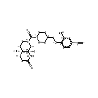 C#Cc1ccc(OCC2CCN(C(=O)N3CC[C@@H]4OCC(=O)N[C@@H]4C3)CC2)c(Cl)c1